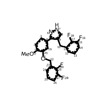 COc1ccc(-c2n[nH]cc2Cc2cccc(F)c2F)cc1OCc1cccc(F)c1F